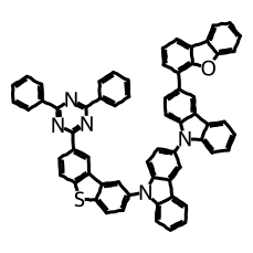 c1ccc(-c2nc(-c3ccccc3)nc(-c3ccc4sc5ccc(-n6c7ccccc7c7cc(-n8c9ccccc9c9cc(-c%10cccc%11c%10oc%10ccccc%10%11)ccc98)ccc76)cc5c4c3)n2)cc1